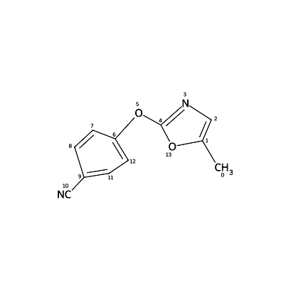 Cc1cnc(Oc2ccc(C#N)cc2)o1